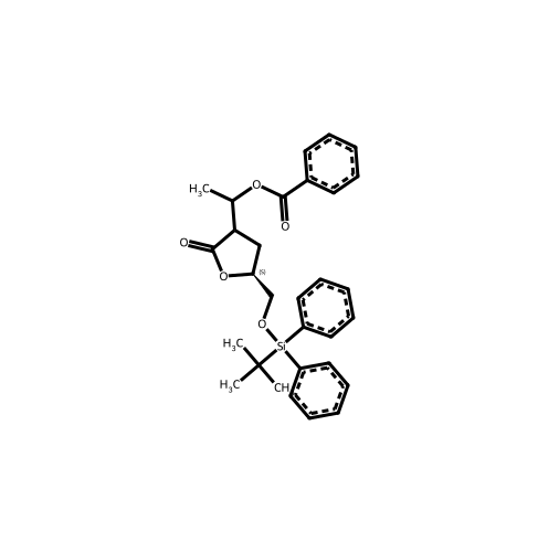 CC(OC(=O)c1ccccc1)C1C[C@@H](CO[Si](c2ccccc2)(c2ccccc2)C(C)(C)C)OC1=O